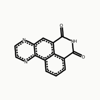 O=C1NC(=O)c2cc3nccnc3c3cccc1c23